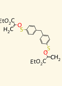 C=C(OSc1ccc(Cc2ccc(SOC(=C)C(=O)OCC)cc2)cc1)C(=O)OCC